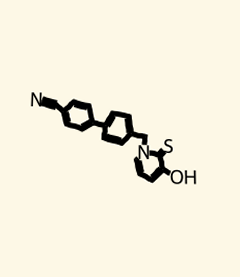 N#Cc1ccc(-c2ccc(Cn3cccc(O)c3=S)cc2)cc1